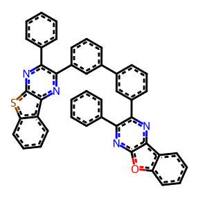 c1ccc(-c2nc3oc4ccccc4c3nc2-c2cccc(-c3cccc(-c4nc5c(nc4-c4ccccc4)sc4ccccc45)c3)c2)cc1